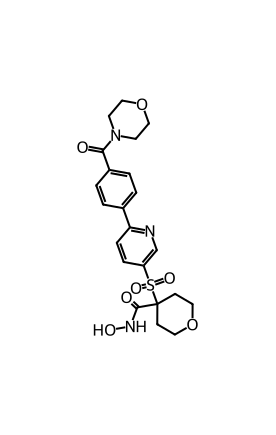 O=C(c1ccc(-c2ccc(S(=O)(=O)C3(C(=O)NO)CCOCC3)cn2)cc1)N1CCOCC1